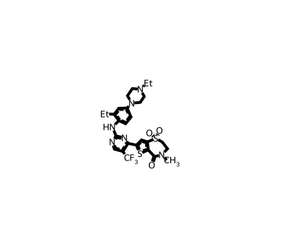 CCc1cc(N2CCN(CC)CC2)ccc1Nc1ncc(C(F)(F)F)c(-c2cc3c(s2)C(=O)N(C)CCS3(=O)=O)n1